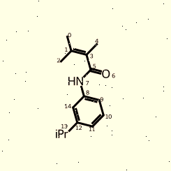 CC(C)=C(C)C(=O)Nc1cccc(C(C)C)c1